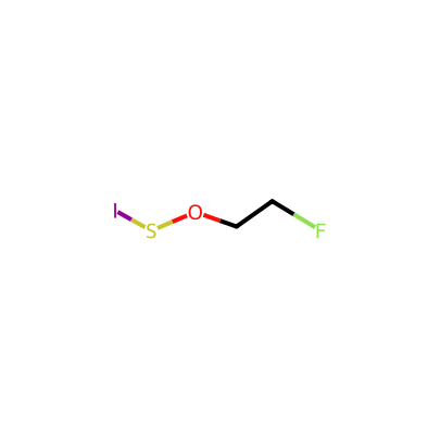 FCCOSI